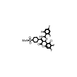 CNS(=O)(=O)C1CCC(C2=C(C(=O)OC)C(c3ccc(F)c(F)c3Cl)N=C(c3c(F)cc(F)cc3F)N2)CC1